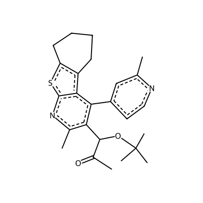 CC(=O)C(OC(C)(C)C)c1c(C)nc2sc3c(c2c1-c1ccnc(C)c1)CCCC3